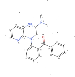 CN(C)CCN(c1ccccc1C(=O)c1ccccc1)c1ncccc1N